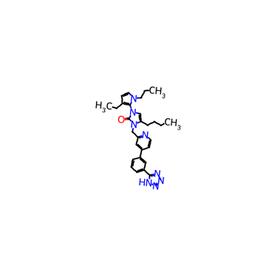 CCCCc1cn(-c2c(CC)ccn2CCC)c(=O)n1Cc1cc(-c2cccc(-c3nnn[nH]3)c2)ccn1